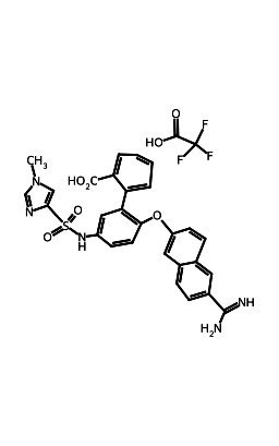 Cn1cnc(S(=O)(=O)Nc2ccc(Oc3ccc4cc(C(=N)N)ccc4c3)c(-c3ccccc3C(=O)O)c2)c1.O=C(O)C(F)(F)F